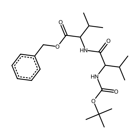 CC(C)C(NC(=O)OC(C)(C)C)C(=O)NC(C(=O)OCc1ccccc1)C(C)C